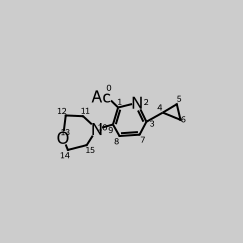 CC(=O)c1nc(C2CC2)ccc1N1CCOCC1